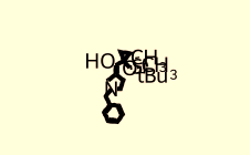 CC(C)(C)[Si](C)(C)OC1(C(O)=C2CCN(Cc3ccccc3)C2)CC1